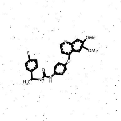 COc1cc2nccc(Oc3ccc(NC(=O)NC(C)c4ccc(F)cc4)cc3)c2cc1OC